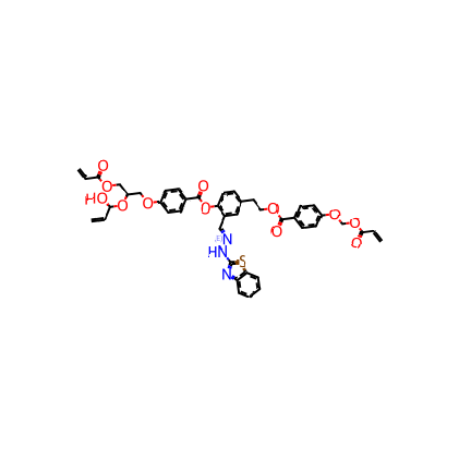 C=CC(=O)OCOc1ccc(C(=O)OCCc2ccc(OC(=O)c3ccc(OCC(COC(=O)C=C)OC(O)C=C)cc3)c(/C=N/Nc3nc4ccccc4s3)c2)cc1